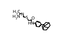 CC(N)/N=C/SCC(=O)Nc1ccc(C23CC4CC(CC(C4)C2)C3)cc1